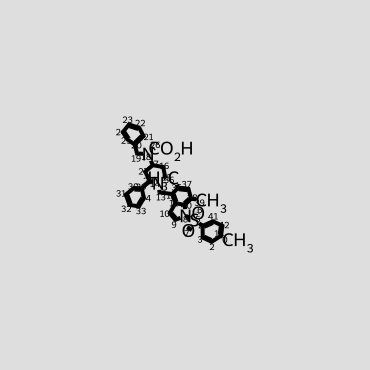 Cc1ccc(S(=O)(=O)n2ccc3c(CN4CCC(N(Cc5ccccc5)C(=O)O)CC4c4ccccc4)c(C)cc(C)c32)cc1